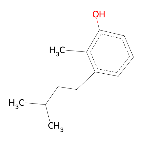 Cc1c(O)cccc1CCC(C)C